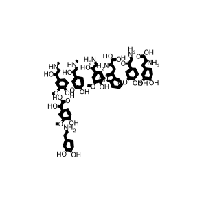 CNCC(O)c1ccc(O)c(OC)c1.CNC[C@H](O)c1ccc(O)c(O)c1.COc1cc(C(O)C(=O)O)ccc1O.COc1cc(C(O)CN)ccc1O.NC(Cc1c[nH]c2ccccc12)C(=O)O.NCCc1ccc(O)c(O)c1.NC[C@H](O)c1ccc(O)c(O)c1.N[C@@H](Cc1ccc(O)c(O)c1)C(=O)O